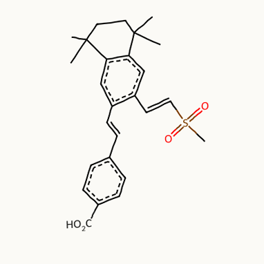 CC1(C)CCC(C)(C)c2cc(/C=C/S(C)(=O)=O)c(/C=C/c3ccc(C(=O)O)cc3)cc21